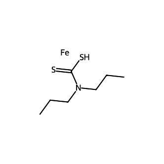 CCCN(CCC)C(=S)S.[Fe]